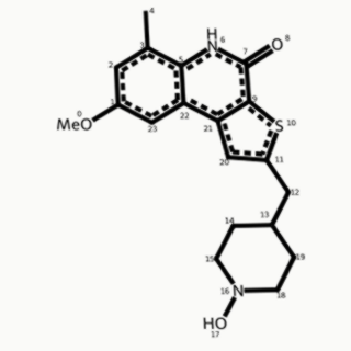 COc1cc(C)c2[nH]c(=O)c3sc(CC4CCN(O)CC4)cc3c2c1